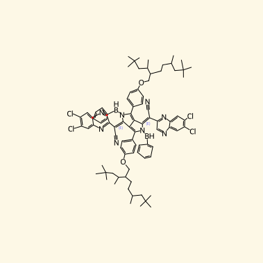 CC(CCC(COc1ccc(-c2c3/c(=C(\C#N)c4cnc5cc(Cl)c(Cl)cc5n4)n(Bc4ccccc4)c(-c4ccc(OCC(CCC(C)CC(C)(C)C)C(C)CC(C)(C)C)cc4)c3/c(=C(\C#N)c3cnc4cc(Cl)c(Cl)cc4n3)n2Bc2ccccc2)cc1)C(C)CC(C)(C)C)CC(C)(C)C